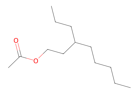 CCCCCC(CCC)CCOC(C)=O